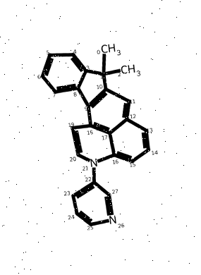 CC1(C)c2ccccc2-c2c1cc1cccc3c1c2C=CN3c1cccnc1